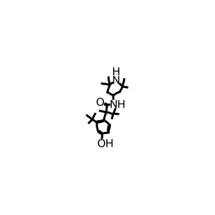 CC1(C)CC(NC(=O)C(C)(c2ccc(O)cc2C(C)(C)C)C(C)(C)C)CC(C)(C)N1